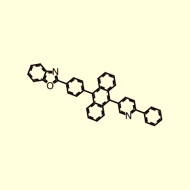 c1ccc(-c2ccc(-c3c4ccccc4c(-c4ccc(-c5nc6ccccc6o5)cc4)c4ccccc34)cn2)cc1